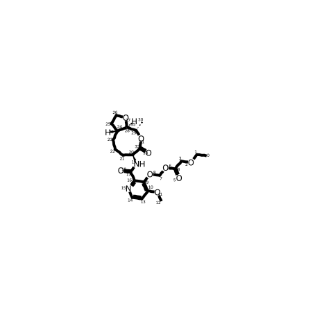 CCOCC(=O)OCOc1c(OC)ccnc1C(=O)N[C@H]1CCC[C@@H]2CCO[C@H]2[C@H](C)OC1=O